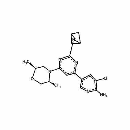 C[C@H]1CN(c2cc(-c3cnc(N)c(Cl)c3)nc(N3CC4CC3C4)n2)[C@@H](C)CO1